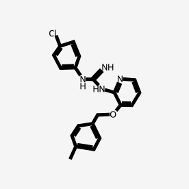 Cc1ccc(COc2cccnc2NC(=N)Nc2ccc(Cl)cc2)cc1